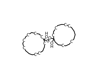 OC1(OOC2(O)CCCCCCCCCCCCCCCCC2)CCCCCCCCCCCCCCCCC1